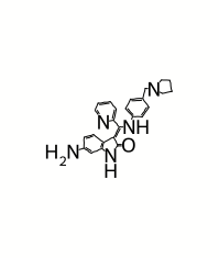 Nc1ccc2c(c1)NC(=O)/C2=C(\Nc1ccc(CN2CCCC2)cc1)c1ccccn1